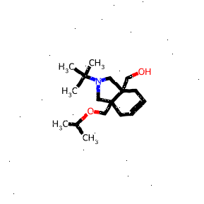 CC(C)OCC12CC=CCC1(CO)CN(C(C)(C)C)C2